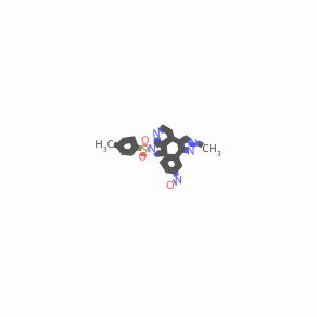 CCn1cc(-c2ccnc3c2ccn3S(=O)(=O)c2ccc(C)cc2)c(-c2cccc(N=O)c2)n1